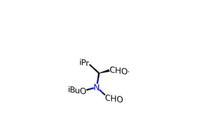 CC(C)CON(C=O)[C@H]([C]=O)C(C)C